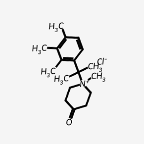 Cc1ccc(C(C)(C)[N+]2(C)CCC(=O)CC2)c(C)c1C.[Cl-]